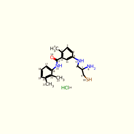 Cc1ccc(NCC(N)CS)cc1C(=O)Nc1cccc(C)c1C.Cl